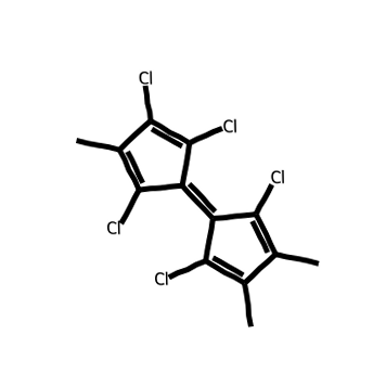 CC1=C(Cl)C(=C2C(Cl)=C(C)C(Cl)=C2Cl)C(Cl)=C1C